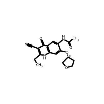 CCc1[nH]c2cc(O[C@@H]3CCOC3)c(NC(C)=O)cc2c(=O)c1C#N